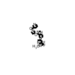 COc1ncc(N2CCc3ncnc(OC4CCN(C(=O)c5cccnc5)C4)c3C2)cc1C(F)(F)F